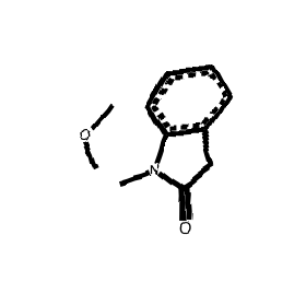 CN1C(=O)Cc2ccccc21.COC